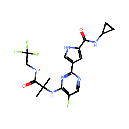 CC(C)(Nc1nc(-c2c[nH]c(C(=O)NC3CC3)c2)ncc1F)C(=O)NCC(F)(F)F